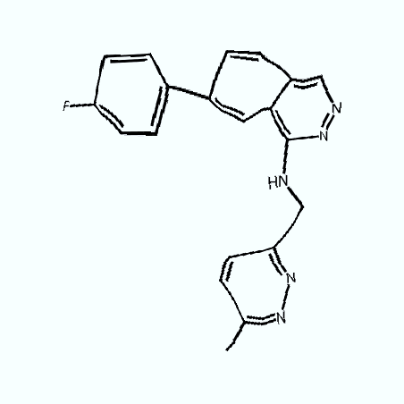 Cc1ccc(CNc2nncc3ccc(-c4ccc(F)cc4)cc23)nn1